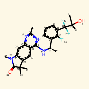 Cc1nc(N[C@H](C)c2cccc(C(F)(F)C(C)(C)O)c2F)c2cc3c(cc2n1)N(C)C(=O)C3(C)C